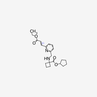 CCOC(=O)/C=C/c1cccc(CNC2(C(=O)OC3CCCC3)CCC2)n1